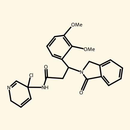 COc1cccc(C(CC(=O)NC2(Cl)C=CCN=C2)N2Cc3ccccc3C2=O)c1OC